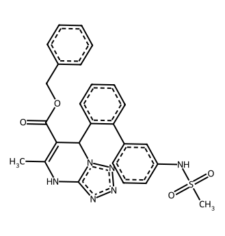 CC1=C(C(=O)OCc2ccccc2)C(c2ccccc2-c2cccc(NS(C)(=O)=O)c2)n2nnnc2N1